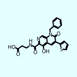 O=C(O)CCNC(=O)c1ncc2c(cc(-c3cccs3)c(=O)n2Cc2ccccc2)c1O